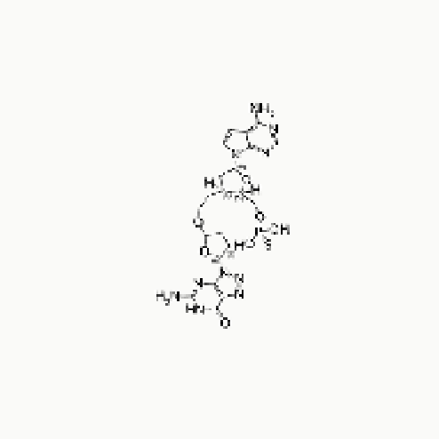 Nc1nc2c(nnn2[C@@H]2OC3C[C@H]2OP(O)(=S)OC[C@H]2O[C@@H](n4ccc5c(N)ncnc54)C[C@@H]2CCO3)c(=O)[nH]1